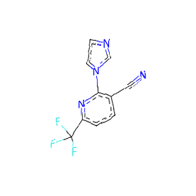 N#Cc1ccc(C(F)(F)F)nc1-n1ccnc1